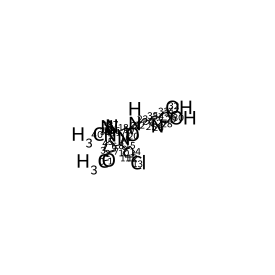 COc1ccc2c(c1)C(c1ccc(Cl)cc1)=N[C@@H](CC(=O)NCCc1cnc3cc(O)c(O)cc3c1)c1nnc(C)n1-2